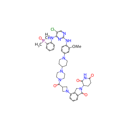 COc1cc(N2CCC(N3CCN(C(=O)C4CN(c5cccc6c5CN(C5CCC(=O)NC5=O)C6=O)C4)CC3)CC2)ccc1Nc1ncc(Cl)c(Nc2ccccc2P(C)(C)=O)n1